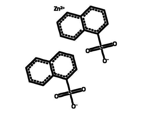 O=S(=O)([O-])c1cccc2ccccc12.O=S(=O)([O-])c1cccc2ccccc12.[Zn+2]